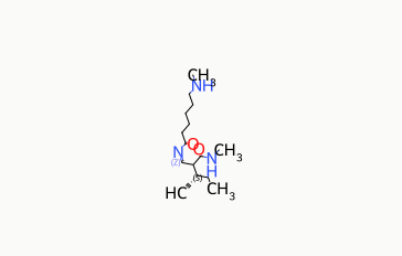 C#C[C@@H](CC)C(/C=N\C(=O)CCCCCNC)C(=O)NC